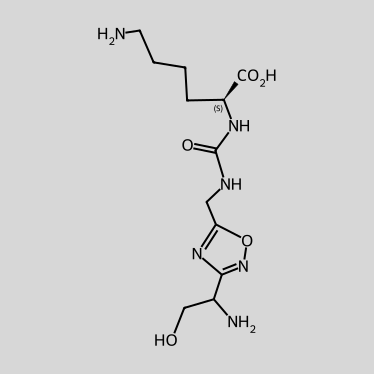 NCCCC[C@H](NC(=O)NCc1nc(C(N)CO)no1)C(=O)O